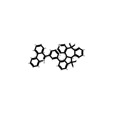 CC1(C)c2cnccc2C2c3c(-c4cccc(-c5nc6ccccc6c6ccccc56)c4)cccc3C(C)(C)C2c2ccccc21